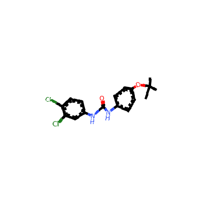 CC(C)(C)Oc1ccc(NC(=O)Nc2ccc(Cl)c(Cl)c2)cc1